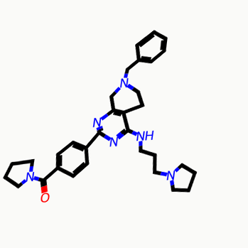 O=C(c1ccc(-c2nc3c(c(NCCCN4CCCC4)n2)CCN(Cc2ccccc2)C3)cc1)N1CCCC1